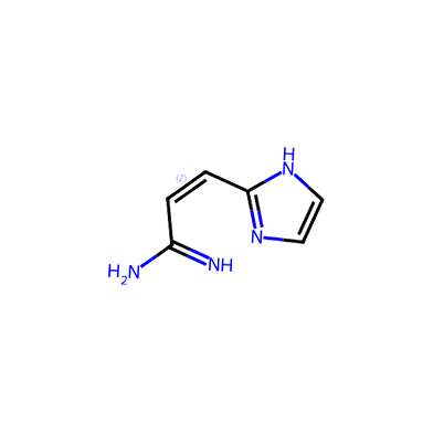 N=C(N)/C=C\c1ncc[nH]1